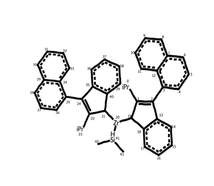 CC(C)C1=C(c2cccc3ccccc23)c2ccccc2[CH]1[Zr]([CH]1C(C(C)C)=C(c2cccc3ccccc23)c2ccccc21)[SiH](C)C